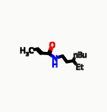 C/C=C/C(=O)NCCC(CC)CCCC